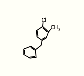 Cc1cc(Cc2ccccc2)ccc1Cl